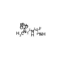 CN(CCN/C=C(/I)C=N)C(=O)OC(C)(C)C